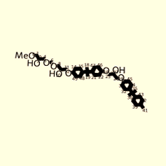 COCC(O)COCOCC(O)COc1ccc(C(C)(C)c2ccc(OCC(O)COc3ccc(C(C)(C)c4ccc(C)cc4)cc3)cc2)cc1